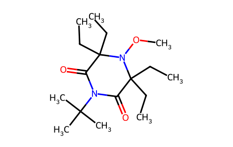 CCC1(CC)C(=O)N(C(C)(C)C)C(=O)C(CC)(CC)N1OC